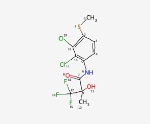 CSc1ccc(NC(=O)C(C)(O)C(F)(F)F)c(Cl)c1Cl